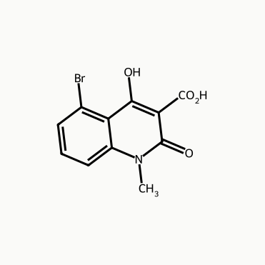 Cn1c(=O)c(C(=O)O)c(O)c2c(Br)cccc21